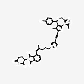 C/C(=C/c1cccc2c1C(=O)N(C1CCC(=O)NC1=O)C2=O)CCCn1cc(C#Cc2sc3c(c2C)C(c2ccc(Cl)cc2)=NCc2nnc(C)n2-3)cn1